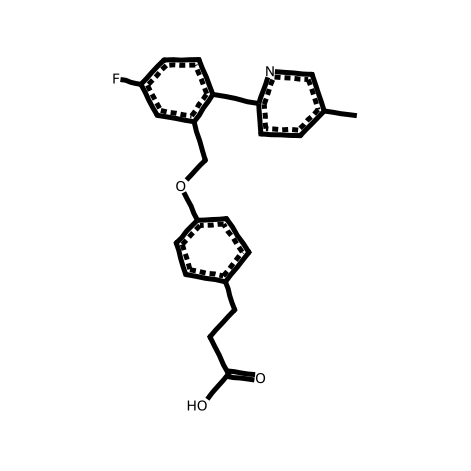 Cc1ccc(-c2ccc(F)cc2COc2ccc(CCC(=O)O)cc2)nc1